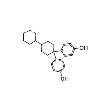 Oc1ccc(C2(c3ccc(O)cc3)CCC(C3CCCCC3)CC2)cc1